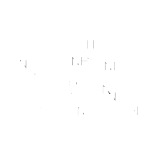 CC1=C(C(=O)Nc2ccc3cnccc3c2)C(c2cnc(-c3ccccc3)o2)n2nc(CO)cc2N1